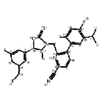 CC1=CC([C@H]2OC(=O)N(Cc3nc(C#N)ccc3-c3cc(C(C)C)c(F)cc3C)[C@H]2C)=CC(CF)C1